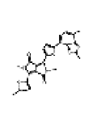 Cc1ccc(C2=C3C(=O)N(C)C(c4ccc(-c5ccc(C)c6nn(C)nc56)s4)=C3C(=O)N2C)s1